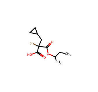 CCC(C)OC(=O)C(Br)(CC1CC1)C(=O)O